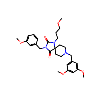 COCCCN1C(=O)N(Cc2cccc(OC)c2)C(=O)C12CCN(Cc1cc(OC)cc(OC)c1)CC2